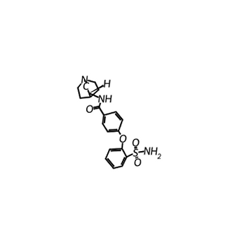 NS(=O)(=O)c1ccccc1Oc1ccc(C(=O)N[C@H]2CN3CCC2CC3)cc1